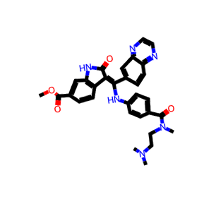 COC(=O)c1ccc2c(c1)NC(=O)C2=C(Nc1ccc(C(=O)N(C)CCN(C)C)cc1)c1ccc2nccnc2c1